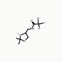 CC1(C)OCC(CNC(=O)C(F)(F)F)O1